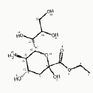 CCOC(=O)C1(O)C[C@H](O)[C@@H](N)[C@H](C(O)C(O)CO)O1